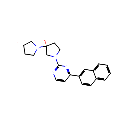 O[C@H]1CCN([C@]2(O)CCN(c3nccc(-c4ccc5ccccc5c4)n3)C2)C1